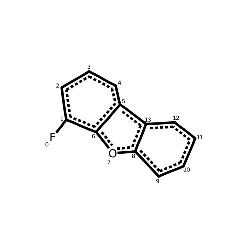 Fc1cccc2c1oc1ccccc12